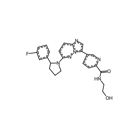 O=C(NCCO)c1ccc(-c2cnc3ccc(N4CCCC4c4cccc(F)c4)nn23)cn1